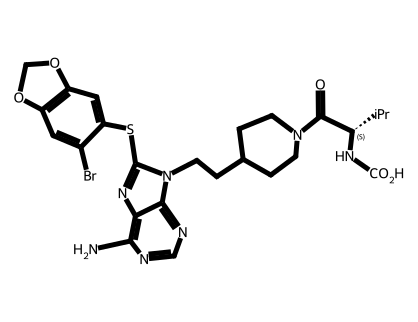 CC(C)[C@H](NC(=O)O)C(=O)N1CCC(CCn2c(Sc3cc4c(cc3Br)OCO4)nc3c(N)ncnc32)CC1